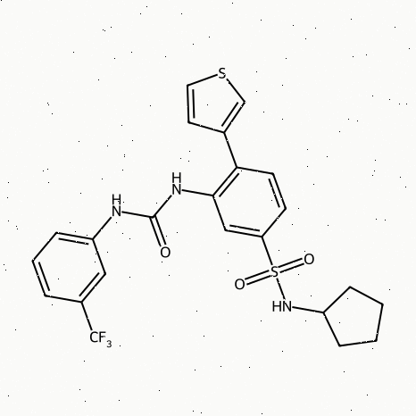 O=C(Nc1cccc(C(F)(F)F)c1)Nc1cc(S(=O)(=O)NC2CCCC2)ccc1-c1ccsc1